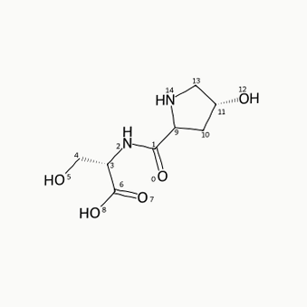 O=C(N[C@@H](CO)C(=O)O)C1C[C@@H](O)CN1